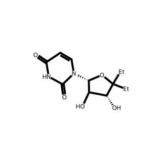 CCC1(CC)O[C@@H](n2ccc(=O)[nH]c2=O)C(O)[C@H]1O